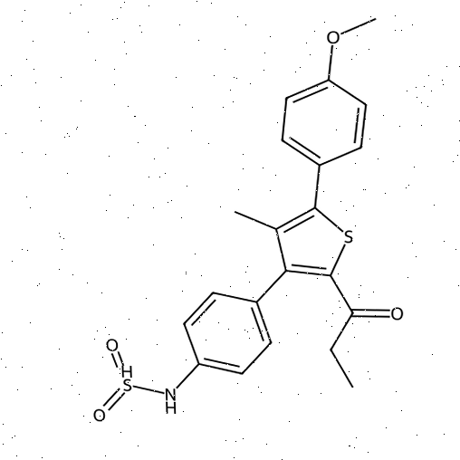 CCC(=O)c1sc(-c2ccc(OC)cc2)c(C)c1-c1ccc(N[SH](=O)=O)cc1